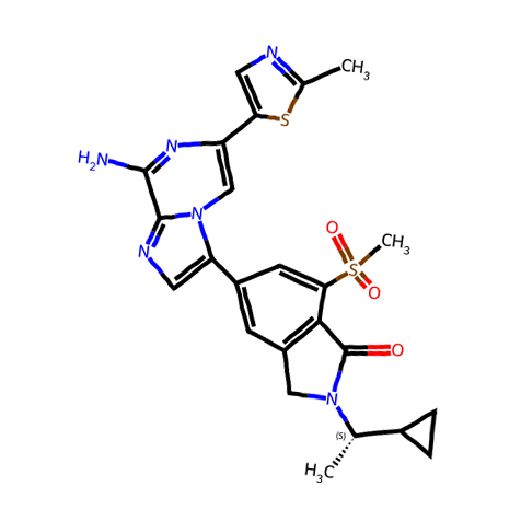 Cc1ncc(-c2cn3c(-c4cc5c(c(S(C)(=O)=O)c4)C(=O)N([C@@H](C)C4CC4)C5)cnc3c(N)n2)s1